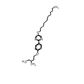 CCCCCCCCCCCOc1cnc(-c2ccc(OCCC(C)CC)cc2)nc1